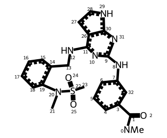 CNC(=O)c1cccc(Nc2nc(NCc3ccccc3N(C)S(C)(=O)=O)c3cc[nH]c3n2)c1